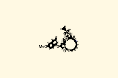 COc1ccc2c(O[C@@H]3C[C@H]4C(=O)N[C@]5(C(=O)NS(=O)(=O)C6CC6)C[C@H]5/C=C\CCCCOC(=O)N4C3)nc(C)cc2c1